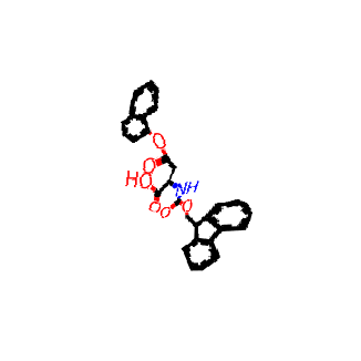 O=C(C[C@@H](NC(=O)OCC1c2ccccc2-c2ccccc21)C(=O)O)Oc1cccc2ccccc12